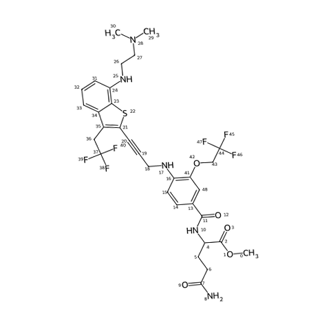 COC(=O)C(CCC(N)=O)NC(=O)c1ccc(NCC#Cc2sc3c(NCCN(C)C)cccc3c2CC(F)(F)F)c(OCC(F)(F)F)c1